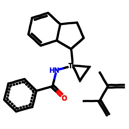 C=C(C)C(=C)C.O=C([NH][Ti]1([CH]2CCC3C=CC=CC32)[CH2][CH2]1)c1ccccc1